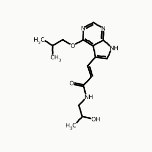 CC(C)COc1ncnc2[nH]cc(C=CC(=O)NCC(C)O)c12